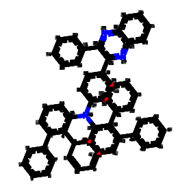 C1=CCC(c2c(-c3ccccc3)cccc2N(c2ccc(-c3nc4ccccc4nc3-c3ccccc3)cc2)c2cccc(-c3ccccc3)c2-c2ccccc2)C=C1